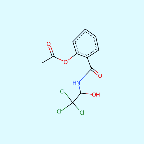 CC(=O)Oc1ccccc1C(=O)NC(O)C(Cl)(Cl)Cl